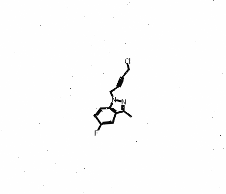 Cc1nn(CC#CCCl)c2ccc(F)cc12